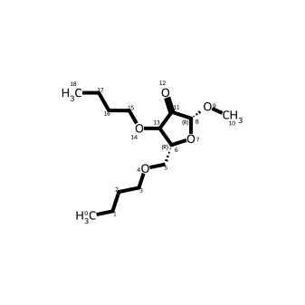 CCCCOC[C@H]1O[C@@H](OC)C(=O)C1OCCCC